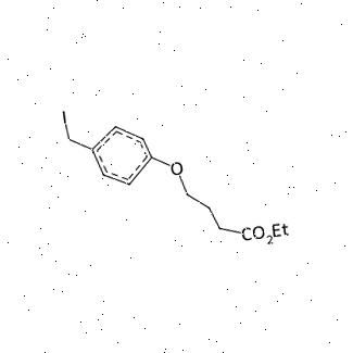 CCOC(=O)CCCOc1ccc(CI)cc1